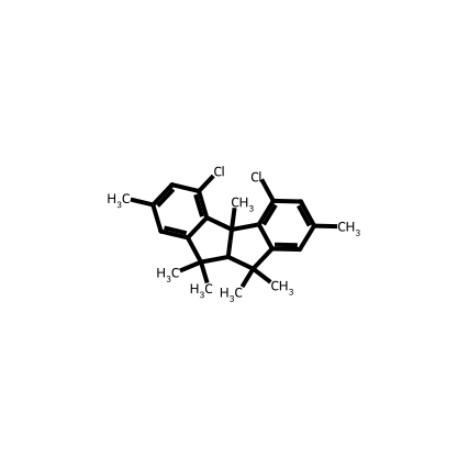 Cc1cc(Cl)c2c(c1)C(C)(C)C1C(C)(C)c3cc(C)cc(Cl)c3C21C